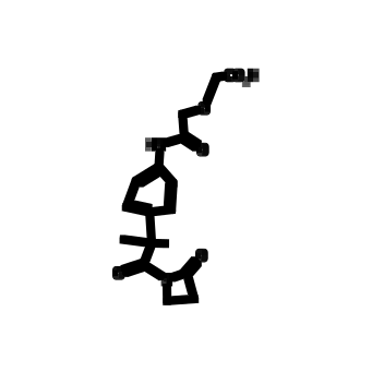 CC(C)(C(=O)N1CCC1=O)c1ccc(NC(=O)COCC(=O)O)cc1